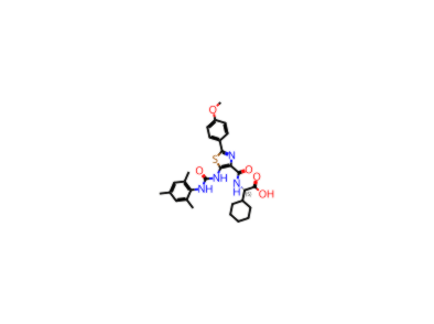 COc1ccc(-c2nc(C(=O)N[C@H](C(=O)O)C3CCCCC3)c(NC(=O)Nc3c(C)cc(C)cc3C)s2)cc1